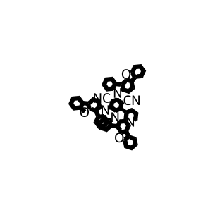 N#Cc1c(-c2cccnc2)c(-n2c3ccccc3c3c4oc5ccccc5c4ccc32)c(-n2c3ccccc3c3c4oc5ccccc5c4ccc32)c(C#N)c1-n1c2ccccc2c2c3oc4ccccc4c3ccc21